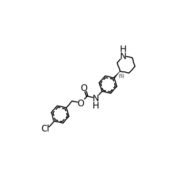 O=C(Nc1ccc([C@@H]2CCCNC2)cc1)OCc1ccc(Cl)cc1